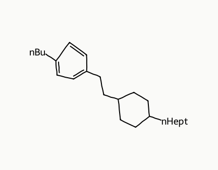 CCCCCCCC1CCC(CCc2ccc(CCCC)cc2)CC1